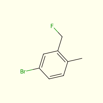 Cc1ccc(Br)cc1CF